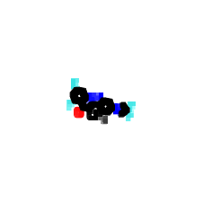 Cc1c(-c2ccc(N3CC(F)(F)C3)cc2)[nH]c2cc(F)cc(F)c2c1=O